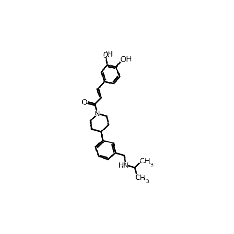 CC(C)NCc1cccc(C2CCN(C(=O)/C=C/c3ccc(O)c(O)c3)CC2)c1